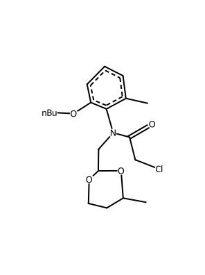 CCCCOc1cccc(C)c1N(CC1OCCC(C)O1)C(=O)CCl